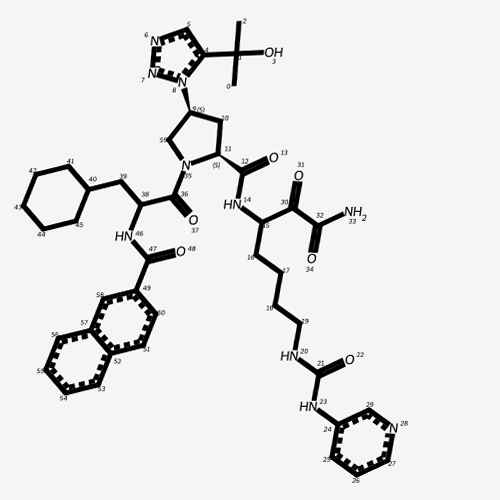 CC(C)(O)c1cnnn1[C@H]1C[C@@H](C(=O)NC(CCCCNC(=O)Nc2cccnc2)C(=O)C(N)=O)N(C(=O)C(CC2CCCCC2)NC(=O)c2ccc3ccccc3c2)C1